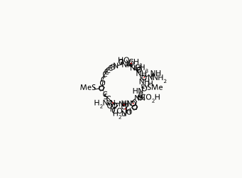 CSCC[C@@H]1NC(=O)[C@H](CCCNC(=N)N)NC(=O)[C@H](C)NC(=O)[C@H]([C@H](C)O)NC(=O)/C=N/OCCCCCCOc2cc(CSC)cc(c2)CSC[C@@H](C(N)=O)NC(=O)[C@H](CCC(=O)O)NC(=O)[C@H](CCC(N)=O)NC(=O)[C@H](Cc2ccccc2)NC(=O)[C@H](CC(=O)O)NC1=O